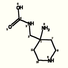 NC1(CNC(=O)O)CCNCC1